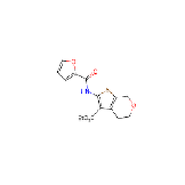 CCOC(=O)c1c(NC(=O)c2ccco2)sc2c1CCOC2